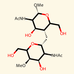 CO[C@@H]1OC(CO)[C@H](C[C@H]2OC(CO)[C@H](OC)[C@H](O)C2NC(C)=O)[C@@H](O)C1NC(C)=O